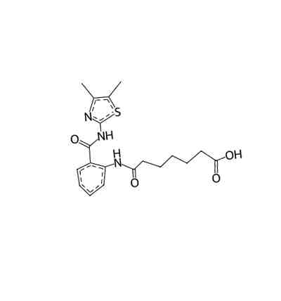 Cc1nc(NC(=O)c2ccccc2NC(=O)CCCCCC(=O)O)sc1C